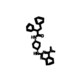 CN(C)c1nc(N[C@H]2CC[C@@H](NC(=O)C(Cc3ccccc3)c3ccccc3)CC2)nc2ccccc12